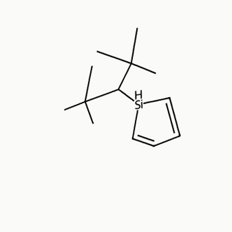 CC(C)(C)C([SiH]1C=CC=C1)C(C)(C)C